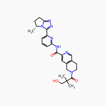 C[C@@H]1CCc2nnc(-c3cccc(NC(=O)c4cc5c(cn4)CCN(C(=O)C(C)(C)CO)C5)n3)n21